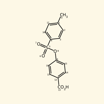 Cc1ccc(S(=O)(=O)Oc2ccc(C(=O)O)cc2)cc1